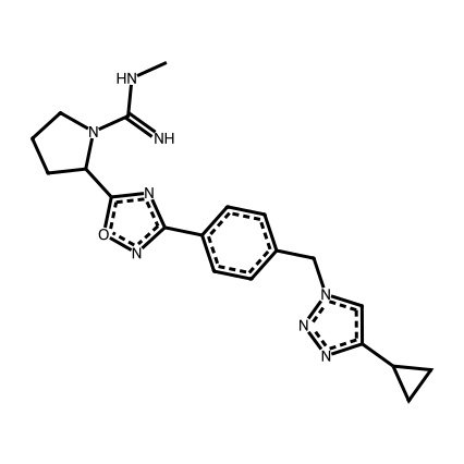 CNC(=N)N1CCCC1c1nc(-c2ccc(Cn3cc(C4CC4)nn3)cc2)no1